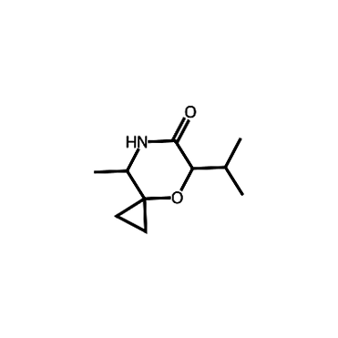 CC(C)C1OC2(CC2)C(C)NC1=O